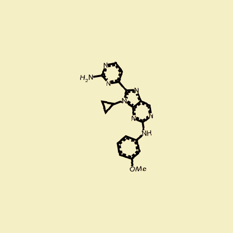 COc1cccc(Nc2ncc3nc(-c4ccnc(N)n4)n(C4CC4)c3n2)c1